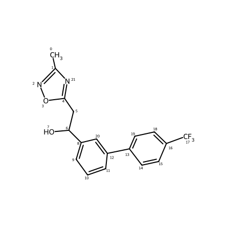 Cc1noc(CC(O)c2cccc(-c3ccc(C(F)(F)F)cc3)c2)n1